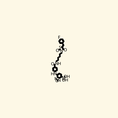 O=C(NCCCCCCN1C(=O)S/C(=C\c2ccc(F)cc2)C1=O)c1ccc(Nc2ccc(N(O)O)c3nonc23)cc1